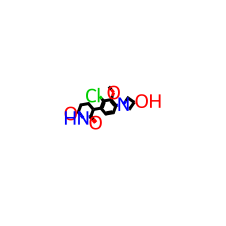 COc1c(N2CC(O)C2)ccc(C2CCC(=O)NC2=O)c1Cl